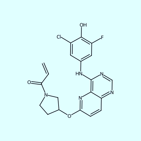 C=CC(=O)N1CCC(Oc2ccc3ncnc(Nc4cc(F)c(O)c(Cl)c4)c3n2)C1